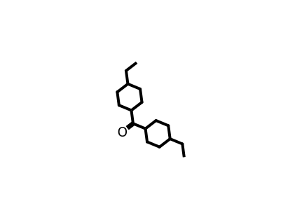 CCC1CCC(C(=O)C2CCC(CC)CC2)CC1